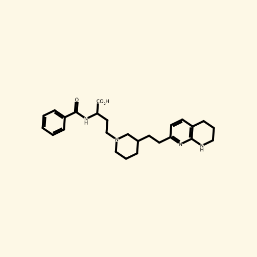 O=C(NC(CCN1CCCC(CCc2ccc3c(n2)NCCC3)C1)C(=O)O)c1ccccc1